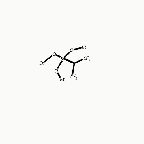 CCO[Si](OCC)(OCC)C(C(F)(F)F)C(F)(F)F